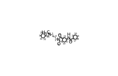 CN(CCCCN1C(=O)c2ccc(NC(=O)c3ccccc3)cc2C1=O)Cc1ccccc1